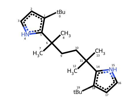 CC(C)(C)c1cc[nH]c1C(C)(C)CCC(C)(C)c1[nH]ccc1C(C)(C)C